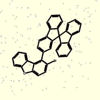 Brc1ccc2oc3ccccc3c2c1-c1ccc2c(c1)C1(c3ccccc3-c3ccccc31)c1ccccc1-2